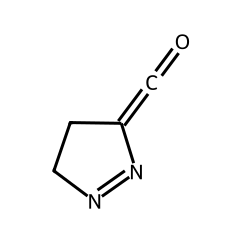 O=C=C1CCN=N1